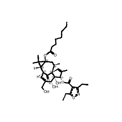 CCCCCCCC(=O)O[C@@]12C[C@@H](C)[C@]34C=C(C)[C@H](OC(=O)c5c(CC)noc5CC)[C@@]3(O)[C@H](O)C(CO)=C[C@H](C4=O)[C@@H]1C2(C)C